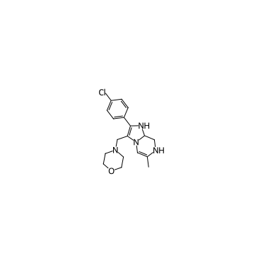 CC1=CN2C(CN3CCOCC3)=C(c3ccc(Cl)cc3)NC2CN1